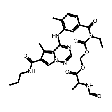 CCCNC(=O)c1cn2ncnc(Nc3cc(C(=O)N(CC)C(=O)OCOC(=O)C(C)NC=O)ccc3C)c2c1C